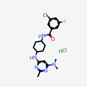 Cc1nc(NC2CCC(NC(=O)c3cc(F)cc(Cl)c3)CC2)cc(N(C)C)n1.Cl